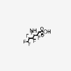 N.O=S(=O)(O)CC(F)C(F)C(F)C(F)C(F)F